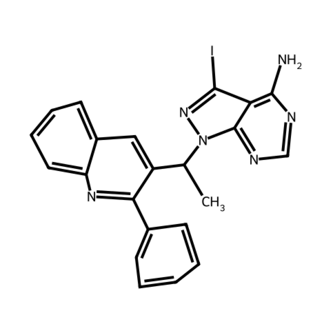 CC(c1cc2ccccc2nc1-c1ccccc1)n1nc(I)c2c(N)ncnc21